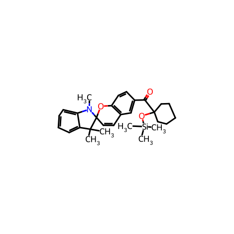 CN1c2ccccc2C(C)(C)C12C=Cc1cc(C(=O)C3(O[Si](C)(C)C)CCCCC3)ccc1O2